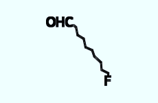 O=CCCCCCCCCCF